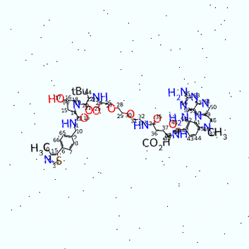 Cc1ncsc1-c1ccc(CNC(=O)C2C[C@@H](O)CN2C(=O)C(NC(=O)COCCOCCNC(=O)CC[C@H](NC(=O)c2ccc(N(C)Cc3cnc4nc(N)nc(N)c4n3)cc2)C(=O)O)C(C)(C)C)cc1